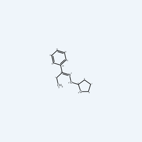 CCC(=NOC1CCCO1)c1ccccc1